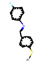 CC(=O)Sc1ccc(/C=N/c2ccc(F)cc2)cc1